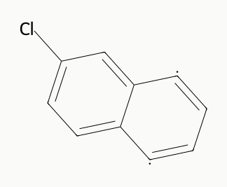 Clc1ccc2[c]cc[c]c2c1